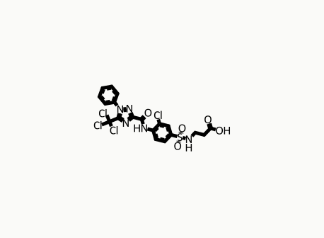 O=C(O)CCNS(=O)(=O)c1ccc(NC(=O)c2nc(C(Cl)(Cl)Cl)n(-c3ccccc3)n2)c(Cl)c1